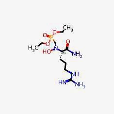 CCOP(=O)(CN(O)[C@@H](CCCNC(=N)N)C(N)=O)OCC